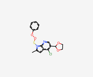 Cc1cc2c(Cl)c(C3OCCO3)cnc2n1SOOc1ccccc1